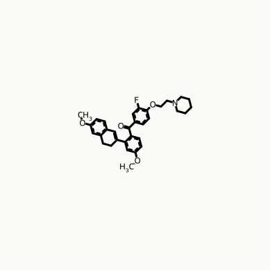 COc1ccc2c(c1)CCC(c1cc(OC)ccc1C(=O)c1ccc(OCCN3CCCCC3)c(F)c1)=C2